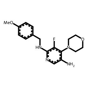 COc1ccc(CNc2ncc(N)c(N3CCOCC3)c2F)cc1